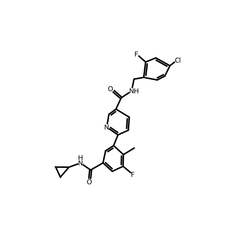 Cc1c(F)cc(C(=O)NC2CC2)cc1-c1ccc(C(=O)NCc2ccc(Cl)cc2F)cn1